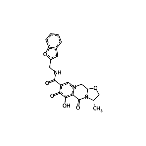 C[C@H]1COC2Cn3cc(C(=O)NCc4cc5ccccc5o4)c(=O)c(O)c3C(=O)N21